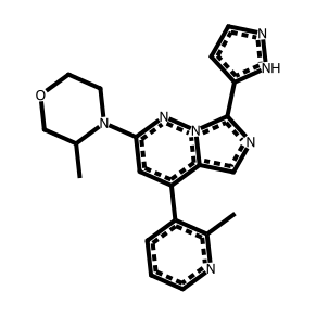 Cc1ncccc1-c1cc(N2CCOCC2C)nn2c(-c3ccn[nH]3)ncc12